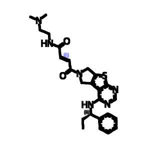 CC[C@@H](Nc1ncnc2sc3c(c12)CN(C(=O)/C=C/C(=O)NCCN(C)C)C3)c1ccccc1